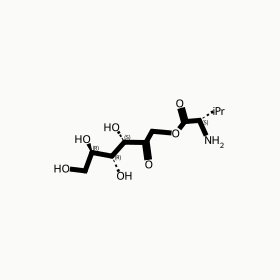 CC(C)[C@H](N)C(=O)OCC(=O)[C@@H](O)[C@H](O)[C@H](O)CO